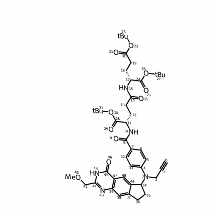 C#CCN(c1ccc(C(=O)N[C@@H](CCC(=O)N[C@H](CCC(=O)OC(C)(C)C)C(=O)OC(C)(C)C)C(=O)OC(C)(C)C)cc1)C1CCc2cc3nc(COC)[nH]c(=O)c3cc21